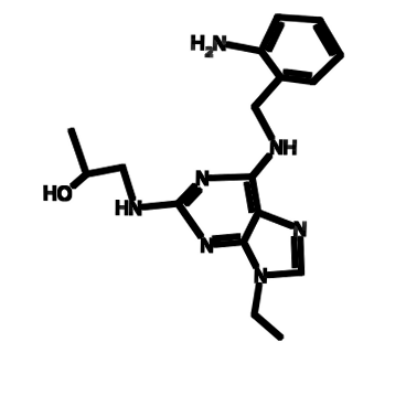 CCn1cnc2c(NCc3ccccc3N)nc(NCC(C)O)nc21